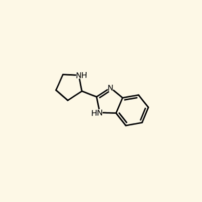 c1ccc2[nH]c(C3CCCN3)nc2c1